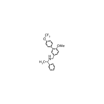 COc1ccc(CN[C@H](C)c2ccccc2)cc1-c1ccc(OC(F)(F)F)cc1